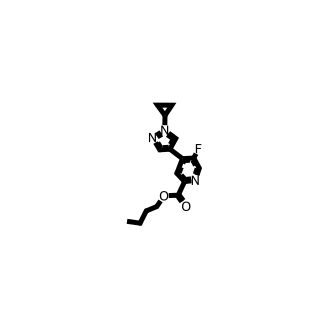 CCCCOC(=O)c1cc(-c2cnn(C3CC3)c2)c(F)cn1